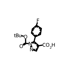 CC(C)(C)OC(=O)n1ncc(C(=O)O)c1-c1ccc(F)cc1